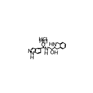 Cl.Cl.O=C(NCC(O)C1Cc2ccccc2CN1)c1ccc2[nH]ncc2c1